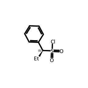 CC[C@@H](c1ccccc1)S(=O)(=O)Cl